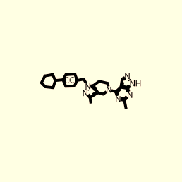 Cc1nc(N2CCc3c(c(C)nn3CC34CCC(C5CCCCC5)(CC3)CC4)C2)c2cn[nH]c2n1